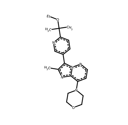 CCOC(C)(C)c1ccc(-c2c(C)nc3c(N4CCOCC4)ccnn23)cn1